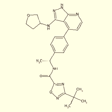 C[C@@H](NC(=O)c1nc(C(C)(C)C)no1)c1ccc(-c2ccnc3[nH]nc(NC4CCOC4)c23)cc1